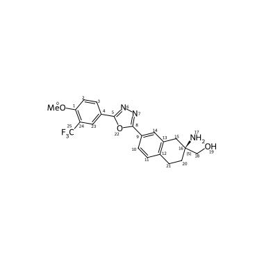 COc1ccc(-c2nnc(-c3ccc4c(c3)C[C@](N)(CO)CC4)o2)cc1C(F)(F)F